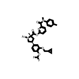 CC(=O)N1C[C@H](c2ccc(OC(F)F)c(OCC3CC3)c2)C[C@@]1(C)C(=O)Oc1cccc(C(=O)N(C)c2ccc(C)cc2)n1